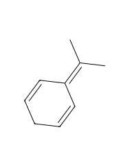 CC(C)=C1C=CCC=C1